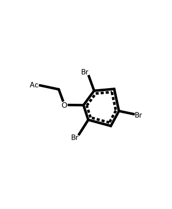 CC(=O)COc1c(Br)cc(Br)cc1Br